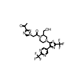 CC(=O)c1ncn(CC(=O)N2CCN(c3sc(C(F)(F)F)nc3-c3cnc(C(F)(F)F)nc3)CC2CO)n1